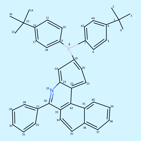 CC(C)(C)c1ccc(B(c2ccc(C(C)(C)C)cc2)c2ccc3c(c2)nc(-c2ccccc2)c2ccc4ccccc4c23)cc1